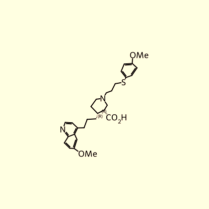 COc1ccc(SCCCN2CC[C@@H](CCCc3ccnc4ccc(OC)cc34)[C@@H](C(=O)O)C2)cc1